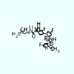 COc1ncc(F)cc1S(=O)(=O)Nc1cc(F)cc(-c2ccc3c(C(=O)NCCCN(C)C)n[nH]c3c2F)c1F